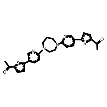 CC(=O)c1ccc(-c2ccc(N3CCCN(c4ccc(-c5ccc(C(C)=O)s5)cn4)CC3)nc2)s1